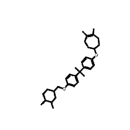 CC1=C(C)CCC(Oc2ccc(C(C)(C)c3ccc(OCC4CCC(C)C(C)C4)cc3)cc2)CC1